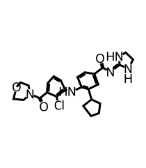 O=C(N=C1NCCN1)c1ccc(Nc2cccc(C(=O)N3CCOCC3)c2Cl)c(C2CCCC2)c1